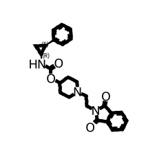 O=C(N[C@@H]1C[C@H]1c1ccccc1)OC1CCN(CCN2C(=O)c3ccccc3C2=O)CC1